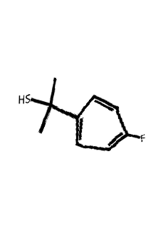 CC(C)(S)c1ccc(F)cc1